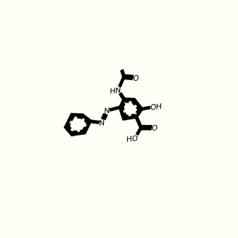 CC(=O)Nc1cc(O)c(C(=O)O)cc1/N=N/c1ccccc1